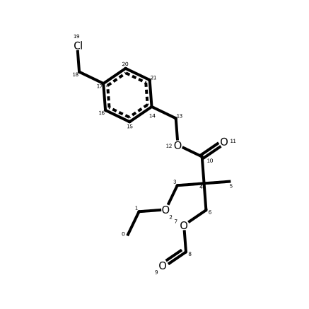 CCOCC(C)(COC=O)C(=O)OCc1ccc(CCl)cc1